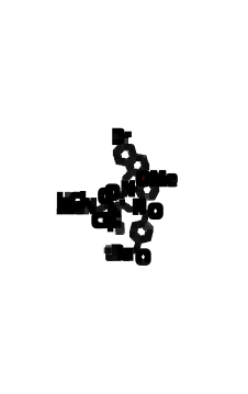 CNC(C)C(=O)NC1CN(C(=O)c2ccc(C(=O)C(C)(C)C)cc2)c2ccccc2N(Cc2c(OC)ccc3cc(Br)ccc23)C1=O.Cl